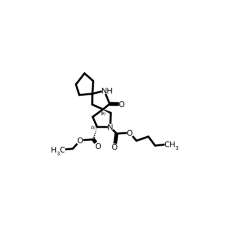 CCCCOC(=O)N1C[C@@]2(C[C@H]1C(=O)OCC)CC1(CCCC1)NC2=O